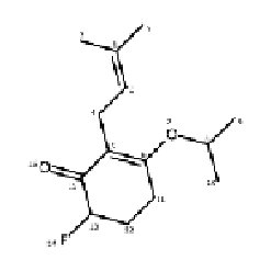 CC(C)=CCC1=C(OC(C)C)CCC(F)C1=O